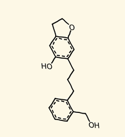 OCc1ccccc1CCCc1cc2c(cc1O)CCO2